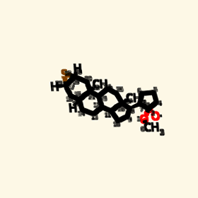 COC1([O])CCCC1[C@H]1CCC2C3CC[C@H]4C[C@@H]5S[C@@H]5C[C@]4(C)C3CC[C@@]21C